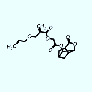 C=CCOCC(=C)C(=O)OCC(=O)OC1C2CC3C(=O)OC1C3C2